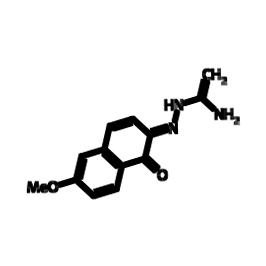 C=C(N)N/N=C1\C=Cc2cc(OC)ccc2C1=O